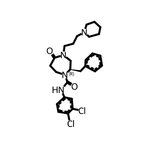 O=C1CCN(C(=O)Nc2ccc(Cl)c(Cl)c2)[C@H](Cc2ccccc2)CN1CCCN1CCCCC1